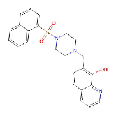 O=S(=O)(c1cccc2ccccc12)N1CCN(Cc2ccc3cccnc3c2O)CC1